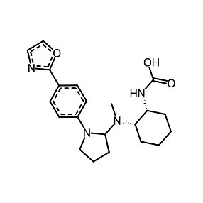 CN(C1CCCN1c1ccc(-c2ncco2)cc1)[C@H]1CCCC[C@H]1NC(=O)O